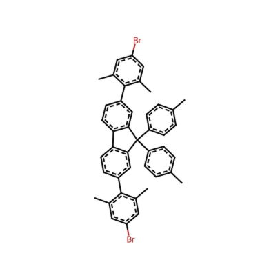 Cc1ccc(C2(c3ccc(C)cc3)c3cc(-c4c(C)cc(Br)cc4C)ccc3-c3ccc(-c4c(C)cc(Br)cc4C)cc32)cc1